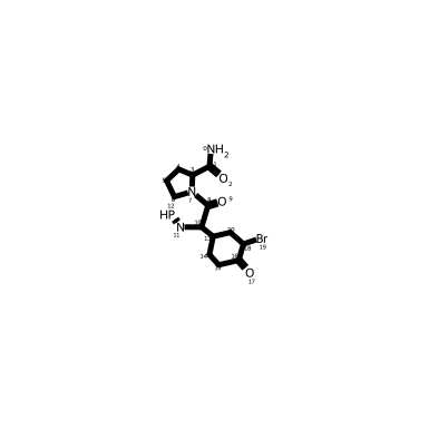 NC(=O)C1CCCN1C(=O)C(N=P)C1CCC(=O)C(Br)C1